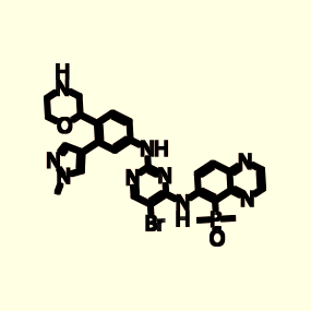 Cn1cc(-c2cc(Nc3ncc(Br)c(Nc4ccc5nccnc5c4P(C)(C)=O)n3)ccc2C2CNCCO2)cn1